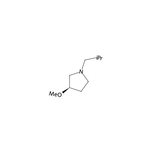 CO[C@@H]1CCN(CC(C)C)C1